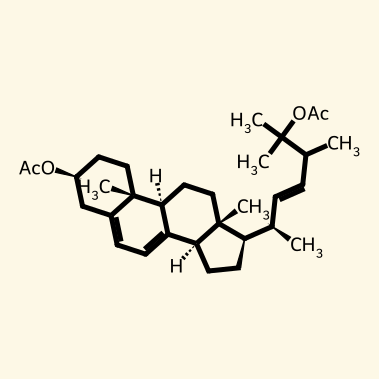 CC(=O)O[C@H]1CC[C@@]2(C)C(=CC=C3[C@@H]4CC[C@H]([C@H](C)C=CC(C)C(C)(C)OC(C)=O)[C@@]4(C)CC[C@@H]32)C1